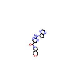 O=C(c1cnc(NC2CCc3nccnc32)nc1)N1CCC2(CCOCC2)C1